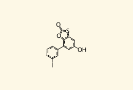 O=c1oc2c(-c3cccc(I)c3)cc(O)cc2s1